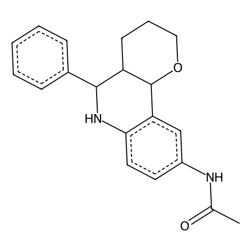 CC(=O)Nc1ccc2c(c1)C1OCCCC1C(c1ccccc1)N2